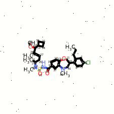 CCCc1cc(Cl)ccc1C1COc2ccc(C(=O)N[S+]([O-])N(C)C(C)C/C=C(\C)C(OC)C3CCC3)cc2N(C)C1